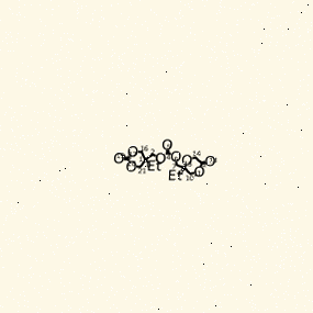 CCC1(COC(=O)OCC2(CC)COC(=O)CO2)COC(=O)OC1